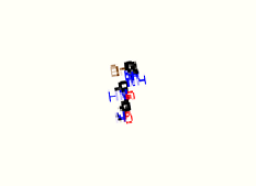 Cc1ccc(Nc2ncc3cccc(Br)c3n2)cc1NC(=O)c1ccc(C(=O)N(C)C)cc1